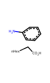 CCCCCCCC(=O)O.Nc1ccccc1